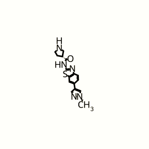 CCn1cc(-c2ccc3nc(NC(=O)[C@@H]4CCNC4)sc3c2)cn1